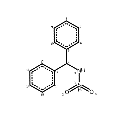 O=[SH](=O)NC(c1ccccc1)c1ccccc1